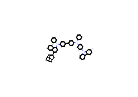 c1ccc(N(c2ccc(-c3ccc(N(c4ccccc4)c4ccc(C56CC7CC8CC(C5)C87C6)c5ccccc45)cc3)cc2)c2ccc(-n3c4ccccc4c4ccccc43)cc2)cc1